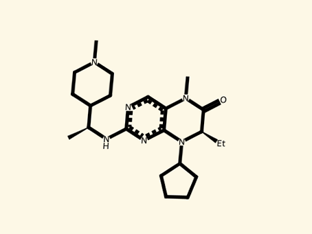 CC[C@@H]1C(=O)N(C)c2cnc(N[C@@H](C)C3CCN(C)CC3)nc2N1C1CCCC1